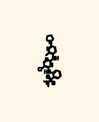 Cc1nc(N2CCCC2)ccc1Nc1ncc(Cl)c(Nc2ccccc2S(=O)(=O)N(C)C)n1